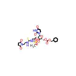 COP(O)(=S)OC1[C@@H](COC(=O)OCc2ccccc2)O[C@@H](n2ccc(=O)[nH]c2=O)[C@H]1CCCNC(=S)NCCN1C(=O)C=CC1=O